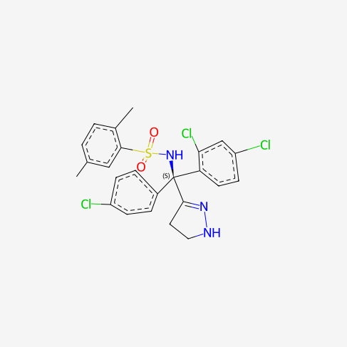 Cc1ccc(C)c(S(=O)(=O)N[C@@](C2=NNCC2)(c2ccc(Cl)cc2)c2ccc(Cl)cc2Cl)c1